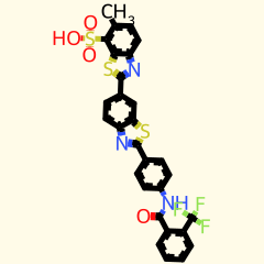 Cc1ccc2nc(-c3ccc4nc(-c5ccc(NC(=O)c6ccccc6C(F)(F)F)cc5)sc4c3)sc2c1S(=O)(=O)O